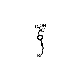 CO[C@@H](Cc1ccc(C#CCCCBr)cc1)C(=O)O